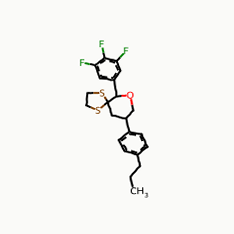 CCCc1ccc(C2COC(c3cc(F)c(F)c(F)c3)C3(C2)SCCS3)cc1